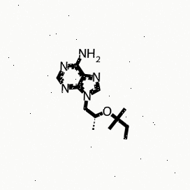 CCC(C)(C)O[C@H](C)Cn1cnc2c(N)ncnc21